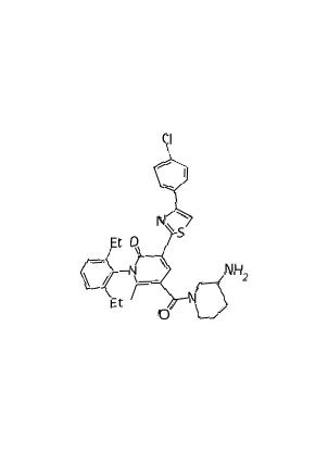 CCc1cccc(CC)c1-n1c(C)c(C(=O)N2CCCC(N)C2)cc(-c2nc(-c3ccc(Cl)cc3)cs2)c1=O